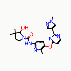 Cc1nc(NC(=O)N2CCC(C)(C)C2O)ccc1Oc1ccnc(-c2cnn(C)c2)n1